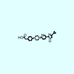 O=C(O)Cc1ccc(N2CCN(c3ccc(-c4nc(C5CC5)c[nH]4)cn3)CC2)cc1